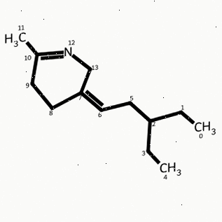 CCC(CC)C/C=C1/CCC(C)=NC1